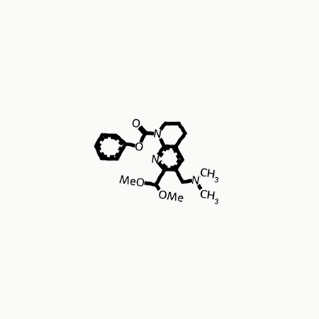 COC(OC)c1nc2c(cc1CN(C)C)CCCN2C(=O)Oc1ccccc1